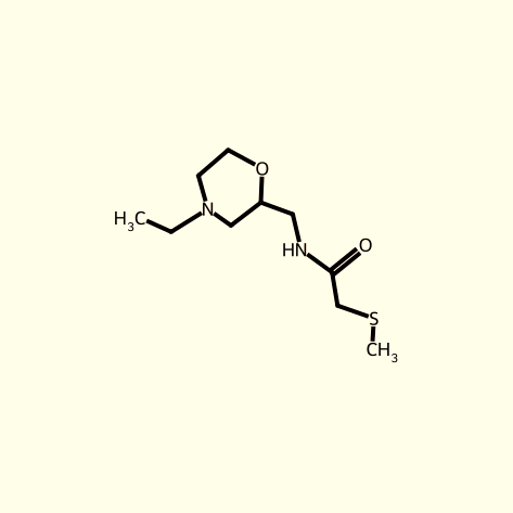 CCN1CCOC(CNC(=O)CSC)C1